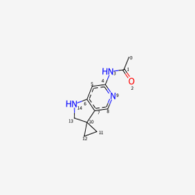 CC(=O)Nc1cc2c(cn1)C1(CC1)CN2